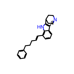 C(=Cc1cccc2c3c([nH]c12)C1CCN(CC1)C3)CCCc1ccccc1